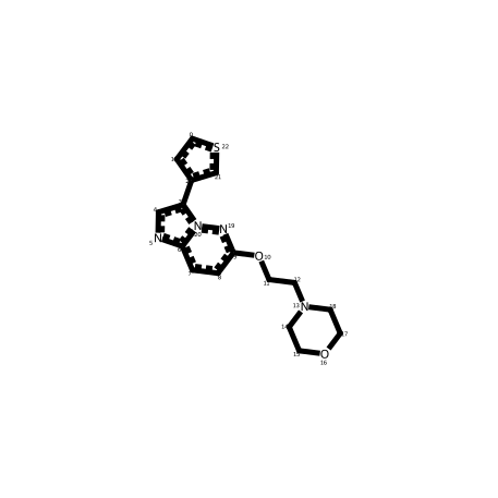 c1cc(-c2cnc3ccc(OCCN4CCOCC4)nn23)cs1